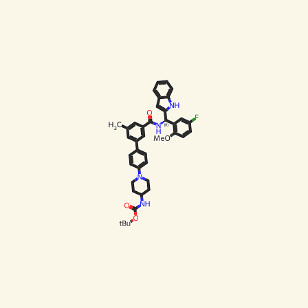 COc1ccc(F)cc1[C@@H](NC(=O)c1cc(C)cc(-c2ccc(N3CCC(NC(=O)OC(C)(C)C)CC3)cc2)c1)c1cc2ccccc2[nH]1